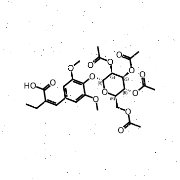 CCC(=Cc1cc(OC)c(O[C@H]2O[C@H](COC(C)=O)[C@@H](OC(C)=O)[C@H](OC(C)=O)[C@@H]2OC(C)=O)c(OC)c1)C(=O)O